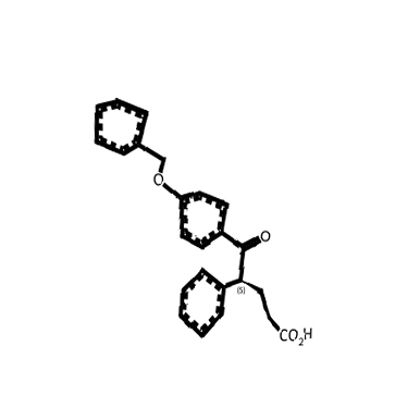 O=C(O)CC[C@H](C(=O)c1ccc(OCc2ccccc2)cc1)c1ccccc1